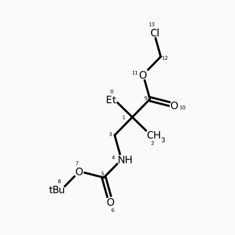 CCC(C)(CNC(=O)OC(C)(C)C)C(=O)OCCl